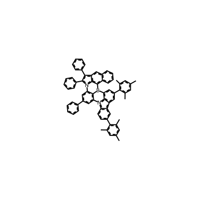 Cc1cc(C)c(-c2ccc3c(c2)c2cc(-c4c(C)cc(C)cc4C)cc4c2n3-c2cc(-c3ccccc3)cc3c2B4c2c4ccccc4cc4c(-c5ccccc5)c(-c5ccccc5)n-3c24)c(C)c1